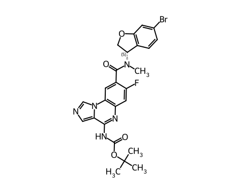 CN(C(=O)c1cc2c(cc1F)nc(NC(=O)OC(C)(C)C)c1cncn12)[C@@H]1COc2cc(Br)ccc21